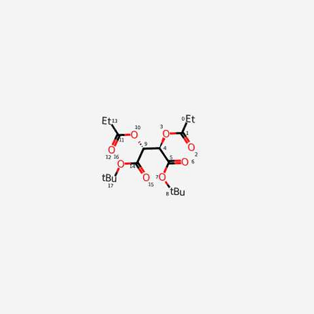 CCC(=O)O[C@@H](C(=O)OC(C)(C)C)[C@@H](OC(=O)CC)C(=O)OC(C)(C)C